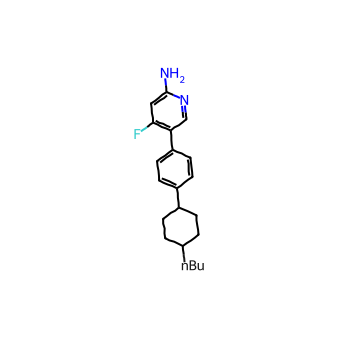 CCCCC1CCC(c2ccc(-c3cnc(N)cc3F)cc2)CC1